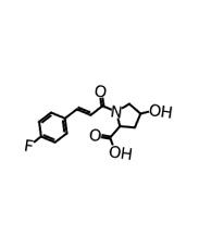 O=C(O)C1CC(O)CN1C(=O)C=Cc1ccc(F)cc1